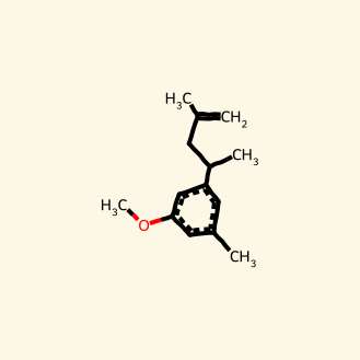 C=C(C)CC(C)c1cc(C)cc(OC)c1